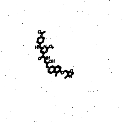 COc1cc(C(=O)NCC(O)CN2CCc3c(ccc(OCc4ocnc4C)c3C)C2)cc(NC2CCN(C(C)=O)CC2)n1